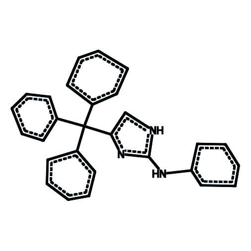 c1ccc(Nc2nc(C(c3ccccc3)(c3ccccc3)c3ccccc3)c[nH]2)cc1